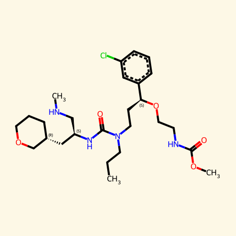 CCCN(CC[C@H](OCCNC(=O)OC)c1cccc(Cl)c1)C(=O)N[C@H](CNC)C[C@H]1CCCOC1